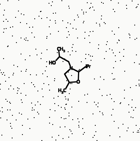 CC(O)CN1CC(C)OC1C(C)C